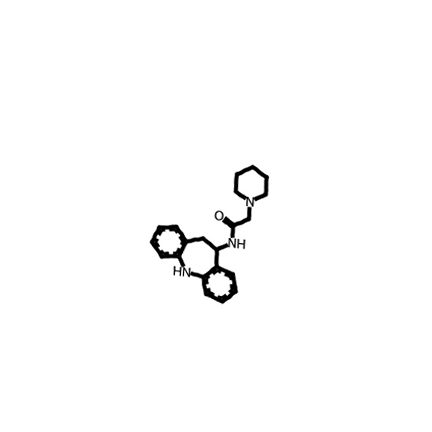 O=C(CN1CCCCC1)NC1Cc2ccccc2Nc2ccccc21